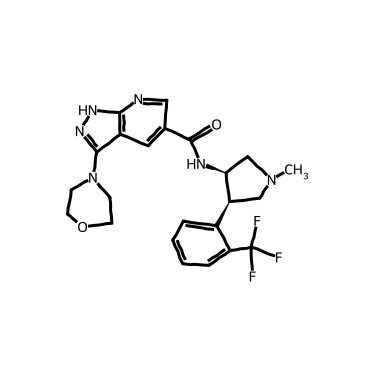 CN1C[C@H](NC(=O)c2cnc3[nH]nc(N4CCOCC4)c3c2)[C@H](c2ccccc2C(F)(F)F)C1